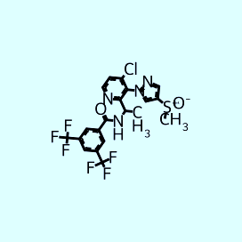 CC(NC(=O)c1cc(C(F)(F)F)cc(C(F)(F)F)c1)c1nccc(Cl)c1-n1cc([S+](C)[O-])cn1